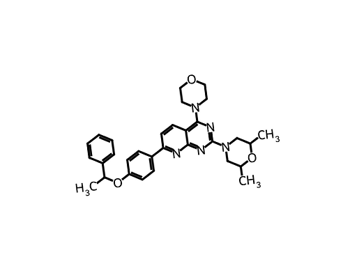 CC1CN(c2nc(N3CCOCC3)c3ccc(-c4ccc(OC(C)c5ccccc5)cc4)nc3n2)CC(C)O1